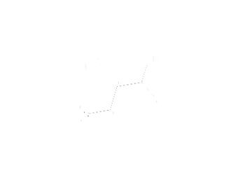 CC(C)[C@@H](C)CN